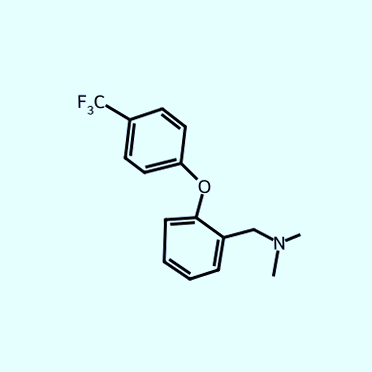 CN(C)Cc1ccccc1Oc1ccc(C(F)(F)F)cc1